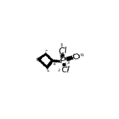 O=P(Cl)(Cl)C1CCC1